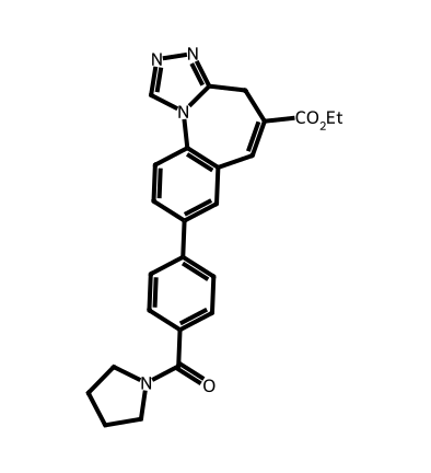 CCOC(=O)C1=Cc2cc(-c3ccc(C(=O)N4CCCC4)cc3)ccc2-n2cnnc2C1